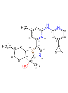 Cc1cc(Nc2cc(C3CC3)ccn2)nc(-c2cnc(C(C)(O)[C@H]3CC[C@H](C(=O)O)CC3)s2)c1